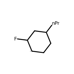 CCCC1CC[CH]C(F)C1